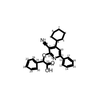 N#Cc1c(C2CCCCC2)cc(-c2ccccc2)nc1OC(C(=O)O)c1ccccc1